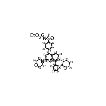 CCOC(=O)N=S(C)(=O)c1ccc(-c2cc(N3CCOCC3)nc3c(-c4cccn4C4CCCCO4)nccc23)cc1